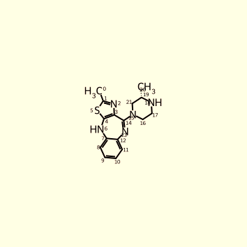 Cc1nc2c(s1)Nc1ccccc1N=C2N1CCN[C@@H](C)C1